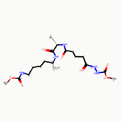 CC(C)[C@H](NC(=O)CCCC(=O)NNC(=O)OC(C)(C)C)C(=O)N[C@@H](CCCCNC(=O)OC(C)(C)C)C(=O)O